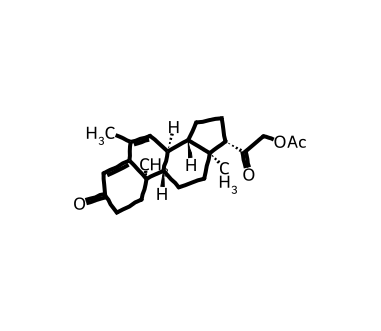 CC(=O)OCC(=O)[C@H]1CC[C@H]2[C@@H]3C=C(C)C4=CC(=O)CC[C@]4(C)[C@H]3CC[C@]12C